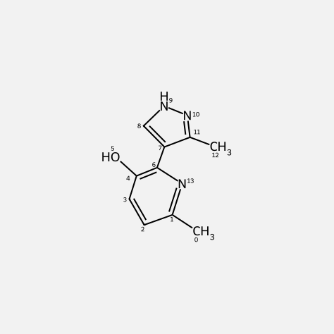 Cc1ccc(O)c(-c2c[nH]nc2C)n1